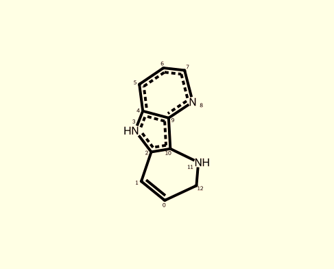 C1=Cc2[nH]c3cccnc3c2NC1